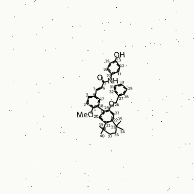 COc1ccc(C=CC(=O)Nc2ccc(O)cc2)cc1-c1cc2c(cc1OCc1ccccc1)C(C)(C)CCC2(C)C